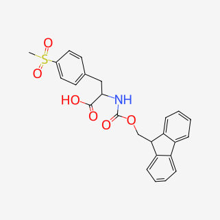 CS(=O)(=O)c1ccc(CC(NC(=O)OCC2c3ccccc3-c3ccccc32)C(=O)O)cc1